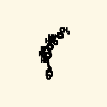 Cc1cccc(NC(=O)Nc2ccc(-c3ccc(OCCCN4CCOCC4)c4[nH]nc(N)c34)cc2)c1